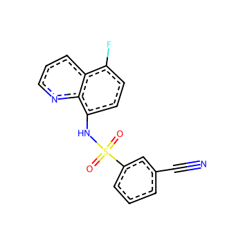 N#Cc1cccc(S(=O)(=O)Nc2ccc(F)c3cccnc23)c1